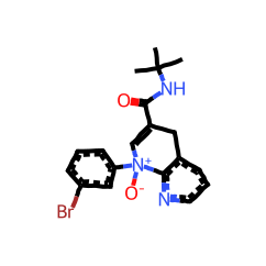 CC(C)(C)NC(=O)C1=C[N+]([O-])(c2cccc(Br)c2)c2ncccc2C1